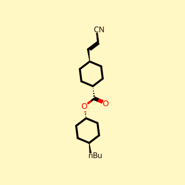 CCCC[C@H]1CC[C@H](OC(=O)[C@H]2CC[C@H](C=CC#N)CC2)CC1